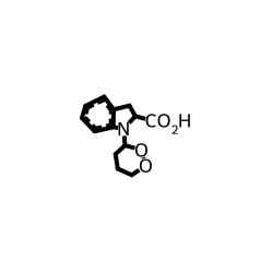 O=C(O)C1Cc2ccccc2N1C1CCCOO1